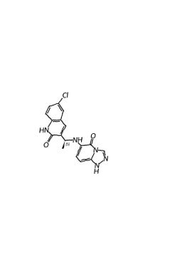 C[C@H](Nc1ccc2[nH]ncn2c1=O)c1cc2cc(Cl)ccc2[nH]c1=O